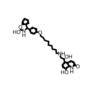 O=C(O)NC(c1ccccc1)c1ccc(OCCCCCCCCCNCC(O)c2ccc(O)c3[nH]c(=O)ccc23)cc1